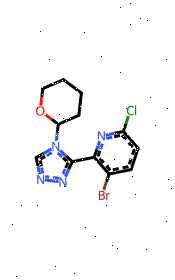 Clc1ccc(Br)c(-c2nncn2C2CCCCO2)n1